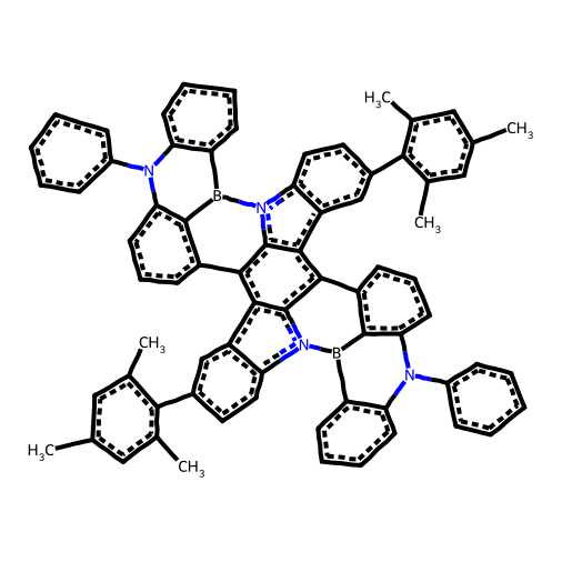 Cc1cc(C)c(-c2ccc3c(c2)c2c4c5c(c6c2n3B2c3ccccc3N(c3ccccc3)c3cccc-6c32)c2cc(-c3c(C)cc(C)cc3C)ccc2n5B2c3ccccc3N(c3ccccc3)c3cccc-4c32)c(C)c1